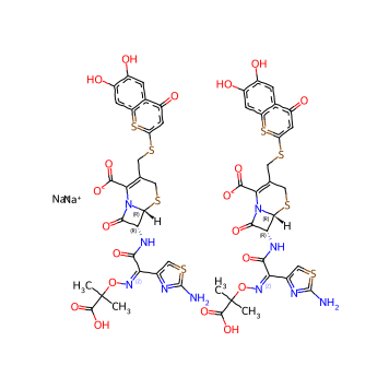 CC(C)(O/N=C(\C(=O)N[C@@H]1C(=O)N2C(C(=O)[O-])=C(CSc3cc(=O)c4cc(O)c(O)cc4s3)CS[C@H]12)c1csc(N)n1)C(=O)O.CC(C)(O/N=C(\C(=O)N[C@@H]1C(=O)N2C(C(=O)[O-])=C(CSc3cc(=O)c4cc(O)c(O)cc4s3)CS[C@H]12)c1csc(N)n1)C(=O)O.[Na+].[Na+]